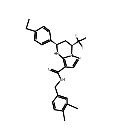 CCc1ccc([C@H]2C[C@@H](C(F)(F)F)n3ncc(C(=O)NCc4ccc(C)c(C)c4)c3N2)cc1